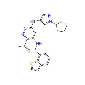 CC(=O)c1nnc(Nc2cnn(C3CCCC3)c2)cc1NCc1cccc2ccsc12